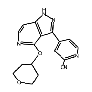 N#Cc1cc(-c2n[nH]c3ccnc(OC4CCOCC4)c23)ccn1